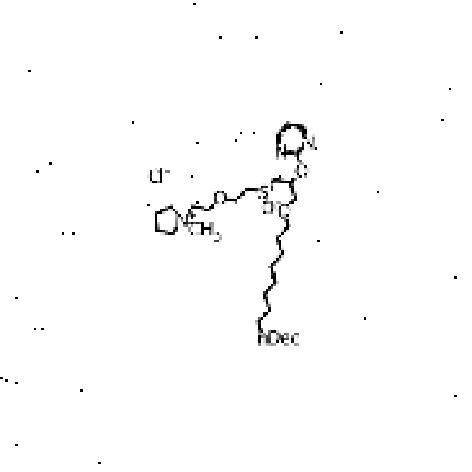 CCCCCCCCCCCCCCCCCCOCC(C[S+]([O-])CCOCC[N+]1(C)CCCC1)Oc1ncccn1.[Cl-]